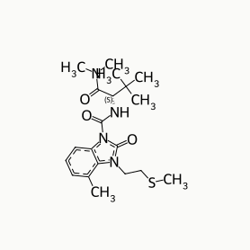 CSCCn1c(=O)n(C(=O)N[C@H](C(=O)N(C)C)C(C)(C)C)c2cccc(C)c21